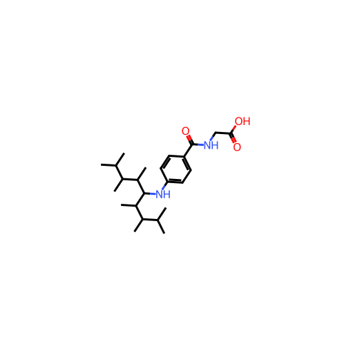 CC(C)C(C)C(C)C(Nc1ccc(C(=O)NCC(=O)O)cc1)C(C)C(C)C(C)C